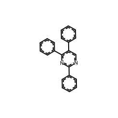 c1ccc(-c2ncc(-c3ccccc3)c(-c3ccccc3)n2)cc1